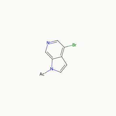 CC(=O)n1ccc2c(Br)cncc21